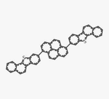 c1ccc2c(c1)ccc1c3ccc(-c4ccc5ccc6c(-c7ccc8c(c7)sc7c9ccccc9ccc87)ccc7ccc4c5c76)cc3sc21